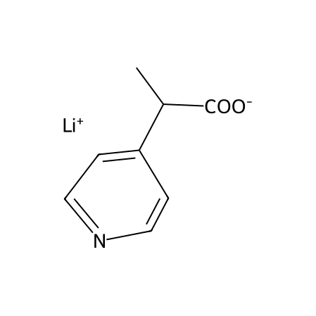 CC(C(=O)[O-])c1ccncc1.[Li+]